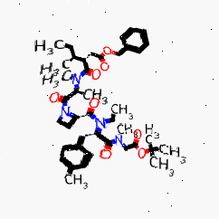 CC[C@H](C)[C@H](CC(=O)OCc1ccccc1)C(=O)N(C)[C@@H](C)C(=O)N1CC[C@H]1C(=O)N(CC)[C@@H](Cc1ccc(C)cc1)C(=O)N(C)CC(=O)OC(C)(C)C